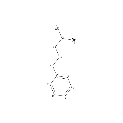 CCC(Br)CCCc1ccccc1